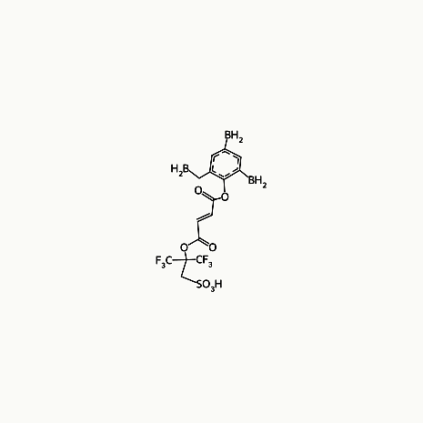 BCc1cc(B)cc(B)c1OC(=O)/C=C/C(=O)OC(CS(=O)(=O)O)(C(F)(F)F)C(F)(F)F